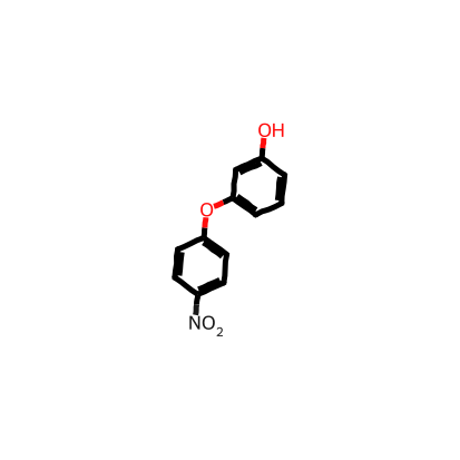 O=[N+]([O-])c1ccc(Oc2cccc(O)c2)cc1